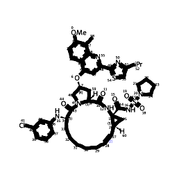 COc1ccc2c(O[C@@H]3C[C@H]4C(=O)N[C@]5(C(=O)NS(=O)(=O)N6CCCC6)C[C@H]5/C=C\CCCCC[C@H](Nc5cccc(Cl)c5)C(=O)N4C3)cc(-c3nc(C(C)C)cs3)nc2c1C